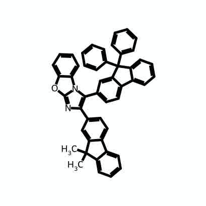 CC1(C)c2ccccc2-c2ccc(-c3nc4oc5ccccc5n4c3-c3ccc4c(c3)C(c3ccccc3)(c3ccccc3)c3ccccc3-4)cc21